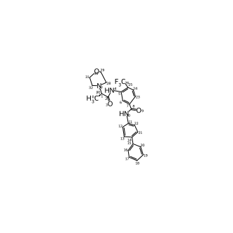 C[C@H](C(=O)Nc1cc(C(=O)Nc2ccc(-c3ccccc3)cc2)ccc1C(F)(F)F)N1CCOCC1